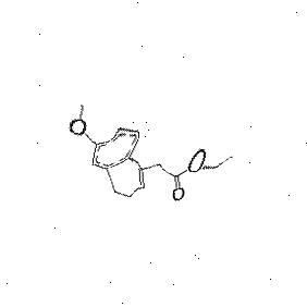 CCOC(=O)CC1=CCCc2cc(OC)ccc21